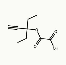 C#CC(CC)(CC)OC(=O)C(=O)O